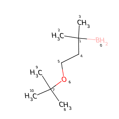 BC(C)(C)CCOC(C)(C)C